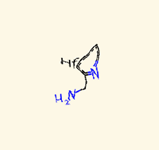 NCc1ccccn1.[Hf]